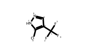 FC(F)(F)c1[c]n[nH]c1Cl